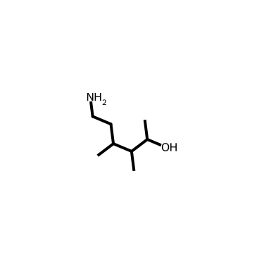 CC(O)C(C)C(C)CCN